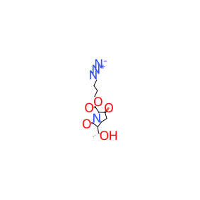 C[C@@H](O)C1C(=O)N2C(C(=O)OCCCCN=[N+]=[N-])C(=O)CC12